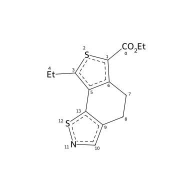 CCOC(=O)c1sc(CC)c2c1CCc1cnsc1-2